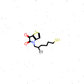 CCC(CCCCS)CN1C(=O)C(=O)c2sccc21